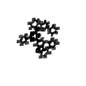 c1ccc(-c2ccc3c4ccccc4n(-c4nc(-c5ccccc5)nc(-c5ccc6c(c5)oc5cccc(-c7ccccc7)c56)n4)c3c2)cc1